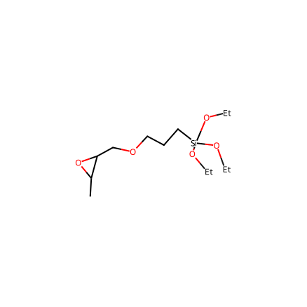 CCO[Si](CCCOCC1OC1C)(OCC)OCC